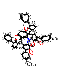 CCCCc1ccc2c(c1)oc1c3c4c(cc12)B1c2cccc(-c5ccccc5)c2Oc2cc5c6c(c21)N4c1c(cc2c(oc4cc(CCCC)ccc42)c1O3)B6c1cccc(-c2ccccc2)c1O5